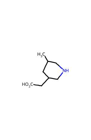 CC1CNCC(CC(=O)O)C1